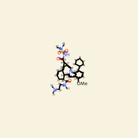 COc1ccc(C2CCCCC2)c2c1cc1n2C=C2C(=C3C=CC[C@@H](C(=O)N(C)CCN(C)C)C31)C2C(=O)NS(=O)(=O)N(C)C